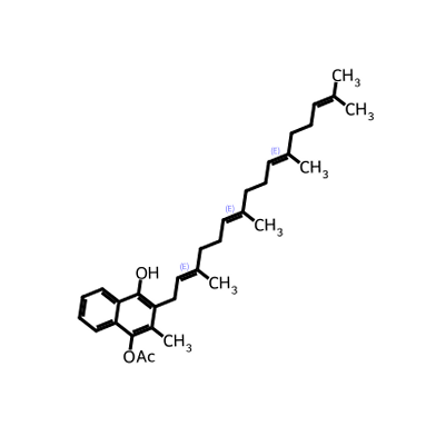 CC(=O)Oc1c(C)c(C/C=C(\C)CC/C=C(\C)CC/C=C(\C)CCC=C(C)C)c(O)c2ccccc12